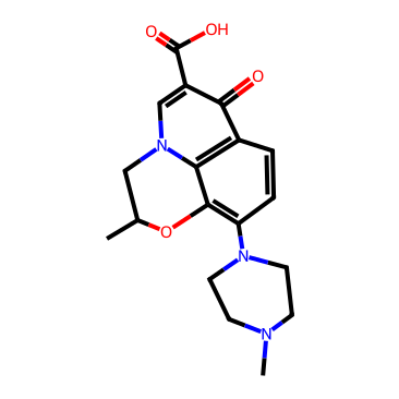 CC1Cn2cc(C(=O)O)c(=O)c3ccc(N4CCN(C)CC4)c(c32)O1